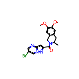 COc1cc2c(cc1OC)CN(C(=O)c1cc3ncc(Br)cn3n1)C(C)C2